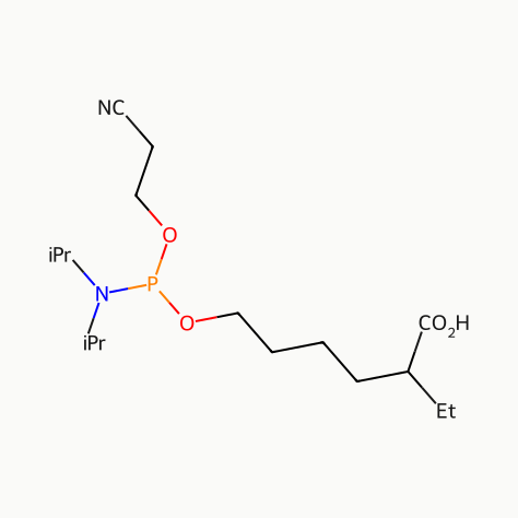 CCC(CCCCOP(OCCC#N)N(C(C)C)C(C)C)C(=O)O